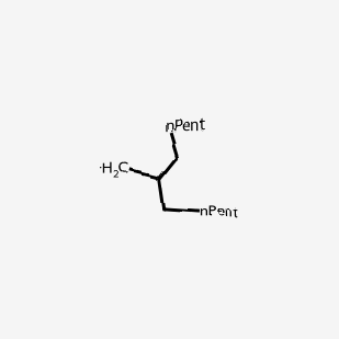 [CH2]C(CCCCCC)CCCCCC